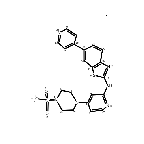 CS(=O)(=O)N1CCN(c2ccnc(Nc3nc4ccc(-c5ccncc5)cc4s3)c2)CC1